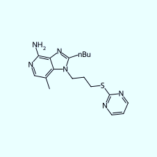 CCCCc1nc2c(N)ncc(C)c2n1CCCSc1ncccn1